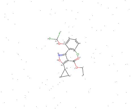 CCOC(=O)c1c(-c2c(Cl)cccc2OC(F)F)noc1C1CC1